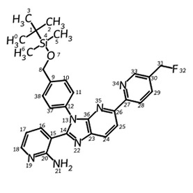 CC(C)(C)[Si](C)(C)OCc1ccc(-n2c(-c3cccnc3N)nc3ccc(-c4ccc(CF)cn4)nc32)cc1